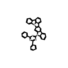 c1ccc(-c2nc(-c3ccccc3)nc(-n3c4ccccc4c4cc5c6cccc7c8ccccc8n(c5cc43)c76)n2)cc1